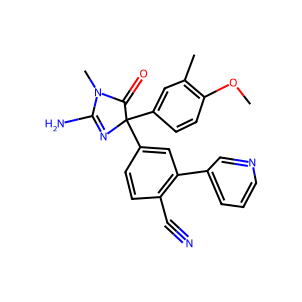 COc1ccc(C2(c3ccc(C#N)c(-c4cccnc4)c3)N=C(N)N(C)C2=O)cc1C